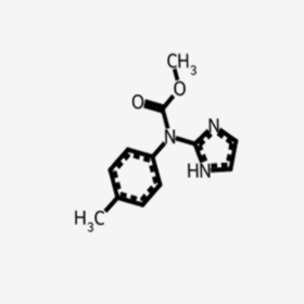 COC(=O)N(c1ccc(C)cc1)c1ncc[nH]1